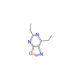 CCc1nc(CC)c2ncoc2n1